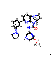 COc1cncc(NC(=O)N2c3nc(-c4cccc(N5CCCC5)c4)ccc3N3CC[C@H]2C3)n1